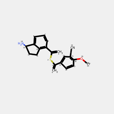 C=C(SC(=C)c1cccc2c1CC[C@H]2N)c1ccc(OC(C)C)c(C#N)c1